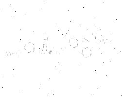 COC(=O)C(=Cc1ccc(OCC(O)CNCc2ccc(OC)cc2OC)cc1)c1ccccc1